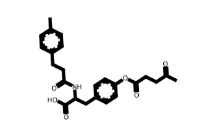 CC(=O)CCC(=O)Oc1ccc(CC(NC(=O)CCc2ccc(C)cc2)C(=O)O)cc1